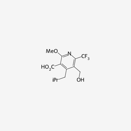 COc1nc(C(F)(F)F)c(CO)c(CC(C)C)c1C(=O)O